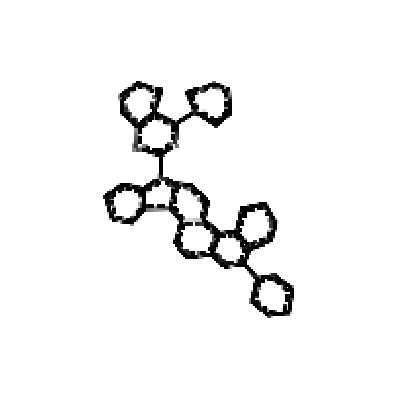 c1ccc(-c2nc(-n3c4ccccc4c4c5ccc6cc(-c7ccccc7)c7ccccc7c6c5ccc43)nc3ccccc23)cc1